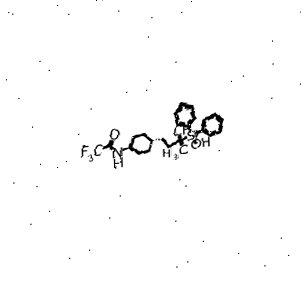 CC(C)(CC[C@H]1CC[C@H](NC(=O)C(F)(F)F)CC1)[Si](O)(c1ccccc1)c1ccccc1